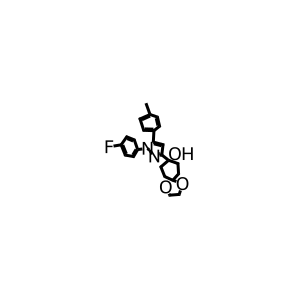 Cc1ccc(-c2cc(C3(O)CCC4(CC3)OCCO4)nn2-c2ccc(F)cc2)cc1